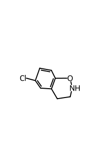 Clc1ccc2c(c1)CCNO2